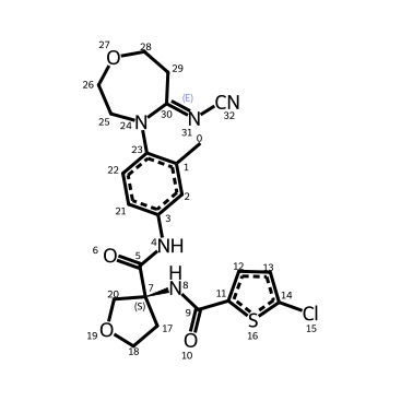 Cc1cc(NC(=O)[C@]2(NC(=O)c3ccc(Cl)s3)CCOC2)ccc1N1CCOCC/C1=N\C#N